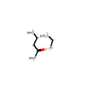 CCOC(=O)CC(C)=O.COCCC(=O)OC